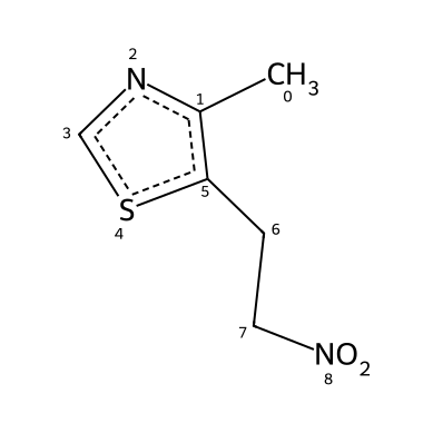 Cc1ncsc1CC[N+](=O)[O-]